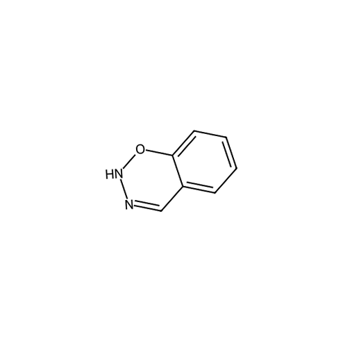 C1=NNOc2ccccc21